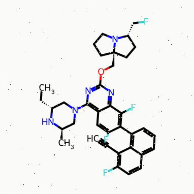 C#Cc1c(F)ccc2cccc(-c3c(F)cc4c(N5C[C@@H](CC)N[C@H](C)C5)nc(OC[C@@]56CCCN5[C@H](CF)CC6)nc4c3F)c12